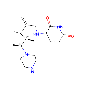 C=C(CNC1CCC(=O)NC1=O)C(C)[C@@H](C)[C@H](C)N1CCNCC1